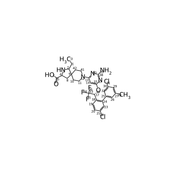 CCC1NC(C(=O)O)CC12CCN(c1cc(O[C@H](c3ccc(Cl)cc3-c3cc(C)cc(Cl)c3)C(F)(F)F)nc(N)n1)CC2